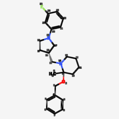 CC1(OCc2ccccc2)CCCCN1C[C@@H]1CCN(c2cccc(F)c2)C1